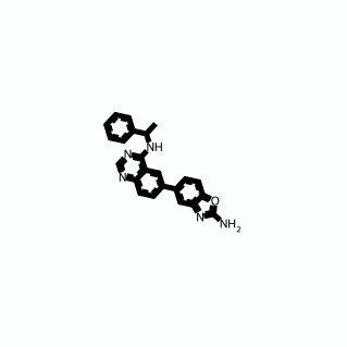 CC(Nc1ncnc2ccc(-c3ccc4oc(N)nc4c3)cc12)c1ccccc1